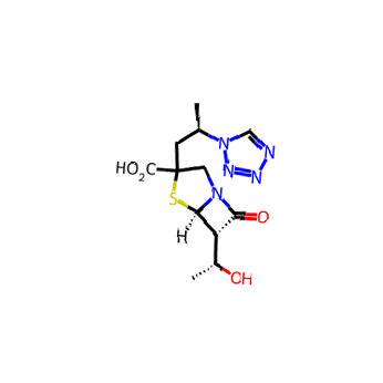 C[C@H](CC1(C(=O)O)CN2C(=O)[C@H]([C@@H](C)O)[C@H]2S1)n1cnnn1